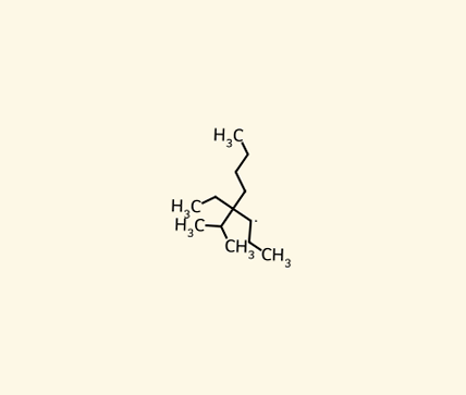 CC[CH]C(CC)(CCCC)C(C)C